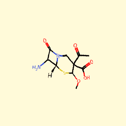 COC1S[C@@H]2C(N)C(=O)N2CC1(C(C)=O)C(=O)O